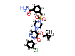 CC1(COc2c(N3CCN(S(=O)(=O)Cc4cccc(C(N)=O)c4)CC3)cnn(-c3cccc(Cl)c3)c2=O)CC1